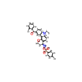 CCn1c2ccc(C(=O)c3ccccc3C)cc2c2c3c(ccc21)/C(=N/OS(=O)(=O)c1ccc(C)cc1)CCO3